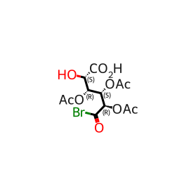 CC(=O)O[C@@H]([C@H](OC(C)=O)[C@@H](OC(C)=O)C(=O)Br)[C@H](O)C(=O)O